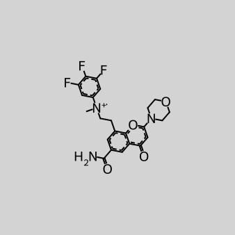 C[N+](C)(CCc1cc(C(N)=O)cc2c(=O)cc(N3CCOCC3)oc12)c1cc(F)c(F)c(F)c1